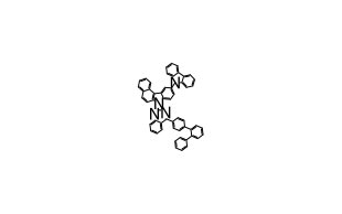 c1ccc(-c2ccccc2-c2ccc(-c3nc(-n4c5ccc(-n6c7ccccc7c7ccccc76)cc5c5c6ccccc6ccc54)nc4ccccc34)cc2)cc1